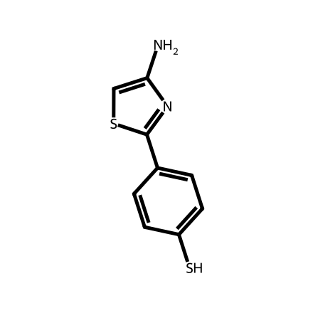 Nc1csc(-c2ccc(S)cc2)n1